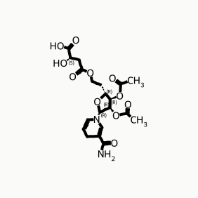 CC(=O)O[C@@H]1[C@H](OC(C)=O)[C@@H](CCOC(=O)C[C@H](O)C(=O)O)O[C@H]1N1C=CCC(C(N)=O)=C1